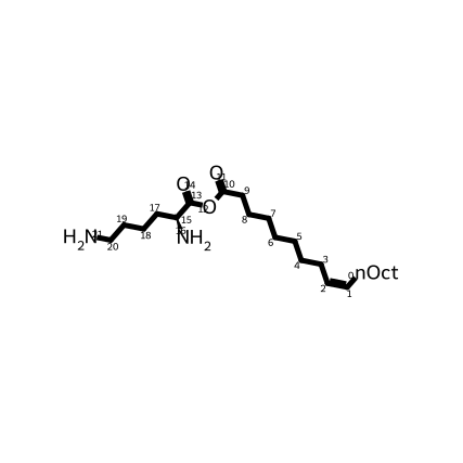 CCCCCCCC/C=C\CCCCCCCC(=O)OC(=O)[C@@H](N)CCCCN